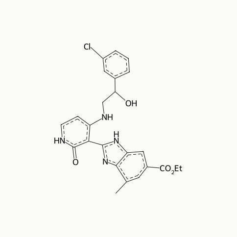 CCOC(=O)c1cc(C)c2nc(-c3c(NCC(O)c4cccc(Cl)c4)cc[nH]c3=O)[nH]c2c1